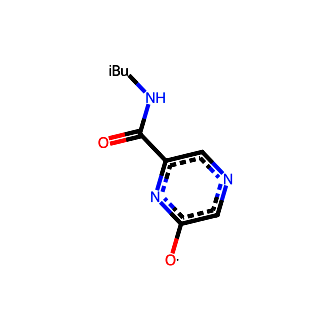 CCC(C)NC(=O)c1cncc([O])n1